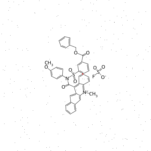 COc1ccc(N(C(=O)c2c3ccccc3[n+](C)c3cc4ccccc4cc23)S(=O)(=O)c2cccc(C(=O)OCc3ccccc3)c2)cc1.O=S(=O)([O-])F